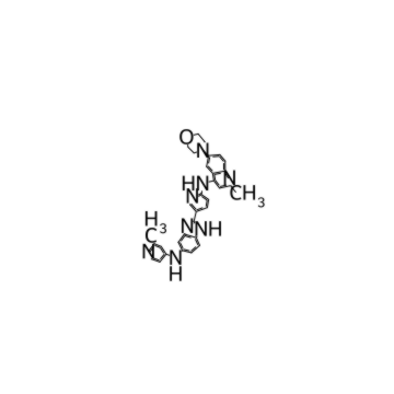 Cc1cc(Nc2ccc3[nH]c(-c4ccc(Nc5cc(C)nc6ccc(N7CCOCC7)cc56)nc4)nc3c2)ccn1